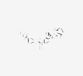 CC(O)C(F)(F)c1ccc(CC(=O)Nc2ccc3c(c2)nnn3CC(C)(C)c2c(F)cccc2F)cc1